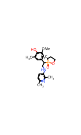 COc1cc(C(CNc2ccc(C)nc2C)P2(=O)OCCC2C)cc(C)c1O